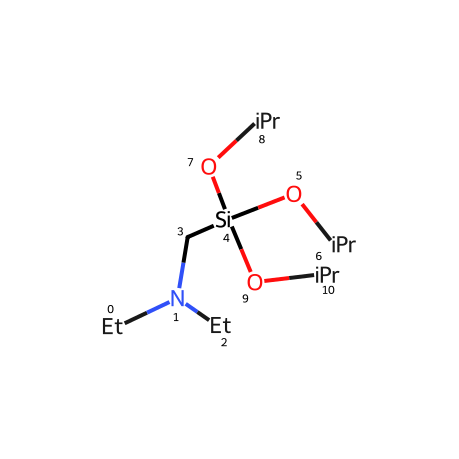 CCN(CC)C[Si](OC(C)C)(OC(C)C)OC(C)C